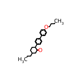 CCCCOc1ccc(-c2ccc(C3CCC(CCC)CC3=O)cc2)cc1